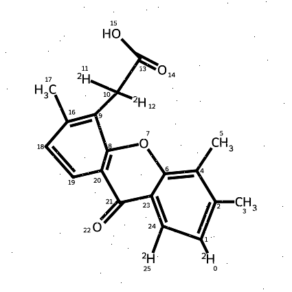 [2H]c1c(C)c(C)c2oc3c(C([2H])([2H])C(=O)O)c(C)ccc3c(=O)c2c1[2H]